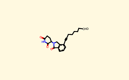 O=CCCCCCC#Cc1cccc2c1CN(C1CCC(=O)NC1=O)C2=O